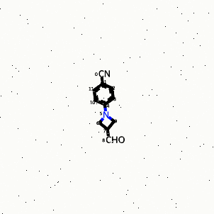 N#Cc1ccc(N2CC(C=O)C2)cc1